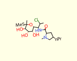 CCCC1CC(C(=O)N[C@H](C(C)Cl)[C@H]2O[C@](C)(SC)[C@H](O)[C@@H](O)[C@H]2O)N(C)C1